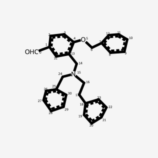 O=Cc1ccc(OCc2ccccc2)c(CN(CCc2ccccc2)Cc2ccccc2)c1